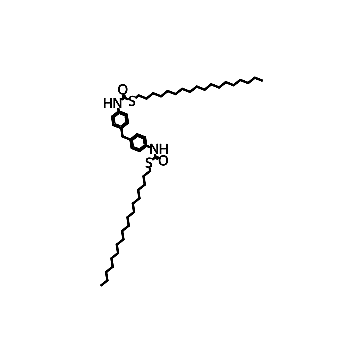 CCCCCCCCCCCCCCCCCCSC(=O)Nc1ccc(Cc2ccc(NC(=O)SCCCCCCCCCCCCCCCCCC)cc2)cc1